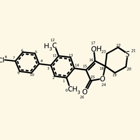 Cc1cc(-c2ccc(Cl)cc2)c(C)cc1C1=C(O)C2(CCSCC2)OC1=O